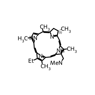 CCC1=C(C)c2cc3[nH]c(cc4nc(c(C)c5cc(C)c(cc1n2)[nH]5)C[C@@H]4C)c(C)c3CNC